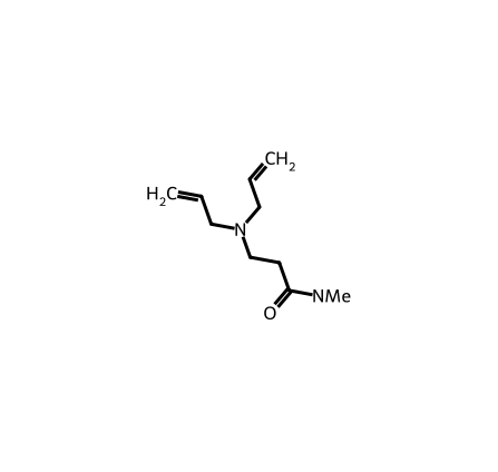 C=CCN(CC=C)CCC(=O)NC